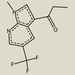 CCC(=O)c1cn(C)c2ncc(C(F)(F)F)cc12